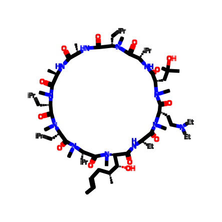 C/C=C/C[C@@H](C)[C@@H](O)[C@H]1C(=O)N[C@@H](CC)C(=O)N(C)[C@@H](CCN(CC)CC)C(=O)N(C)[C@@H](CC(C)(C)O)C(=O)N[C@@H](C(C)C)C(=O)N(C)[C@@H](CC(C)C)C(=O)N[C@@H](C)C(=O)N[C@H](C)C(=O)N(C)[C@@H](CC(C)C)C(=O)N(C)[C@@H](CC(C)C)C(=O)N(C)[C@@H](C(C)C)C(=O)N1C